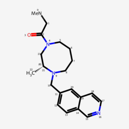 CNCC(=O)N1CCCCN(Cc2ccc3cnccc3c2)[C@H](C)C1